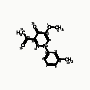 COc1cn(-c2cccc(C)c2)nc(C(C)=O)c1=O